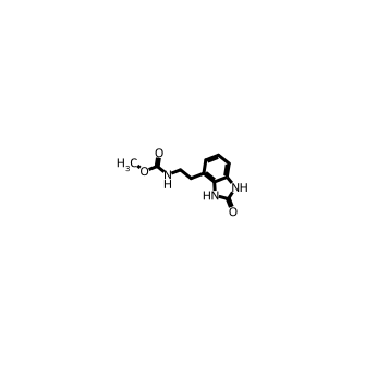 COC(=O)NCCc1cccc2[nH]c(=O)[nH]c12